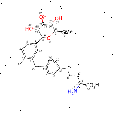 CS[C@H]1O[C@@H](c2ccc(C)c(Cc3ccc(CCC[C@H](N)C(=O)O)cc3)c2)[C@H](O)[C@@H](O)[C@@H]1O